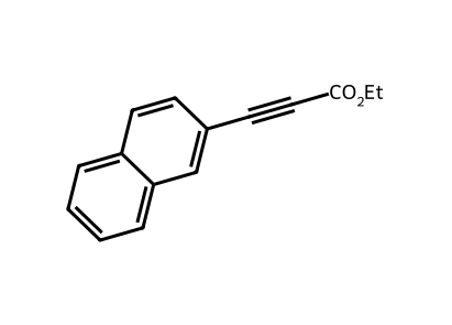 CCOC(=O)C#Cc1ccc2ccccc2c1